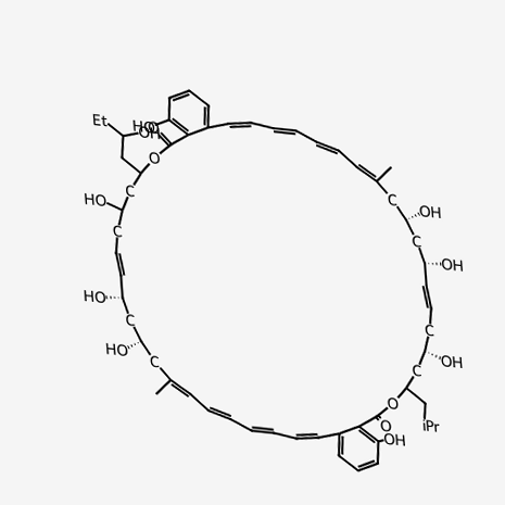 CCC(O)CC1CC(O)C/C=C/[C@@H](O)C[C@@H](O)C/C(C)=C/C=C/C=C/C=C\c2cccc(O)c2C(=O)OC(CC(C)C)C[C@@H](O)C/C=C/[C@@H](O)C[C@@H](O)C/C(C)=C/C=C/C=C/C=C\c2cccc(O)c2C(=O)O1